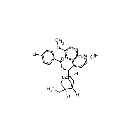 CC[C@H]1CN2CC[C@H]1C[C@@H]2[C@@H](OC(=O)c1ccc(Cl)cc1)c1ccnc2ccc(OC)cc12.Cl